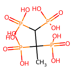 CC(C(P(=O)(O)O)P(=O)(O)O)(P(=O)(O)O)P(=O)(O)O